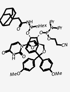 CCCCCCN(NC(=O)CC12CC3CC(CC(C3)C1)C2)O[C@@H]1[C@H](OP(OCCC#N)N(C(C)C)C(C)C)[C@@H](COC(c2ccccc2)(c2ccc(OC)cc2)c2ccc(OC)cc2)O[C@H]1n1ccc(=O)[nH]c1=O